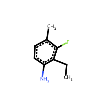 CCc1c(N)ccc(C)c1F